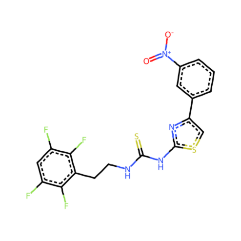 O=[N+]([O-])c1cccc(-c2csc(NC(=S)NCCc3c(F)c(F)cc(F)c3F)n2)c1